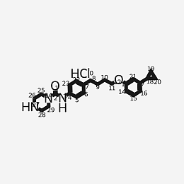 Cl.O=C(Nc1ccc(CCCCOc2cccc(C3CC3)c2)cc1)N1CCNCC1